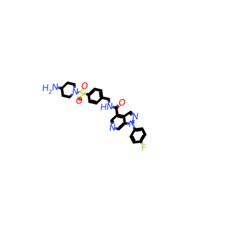 NC1CCN(S(=O)(=O)c2ccc(CNC(=O)c3cncc4c3cnn4-c3ccc(F)cc3)cc2)CC1